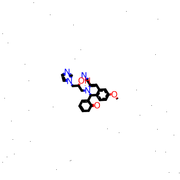 COc1ccc2c(c1)C=C(C#N)N(CC(O)Cn1ccnc1)C2C1=CC=CCC1=O